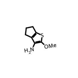 COc1sc2c(c1N)CCC2